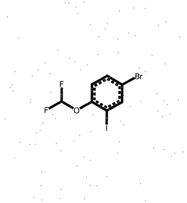 FC(F)Oc1ccc(Br)cc1I